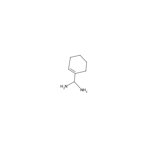 NC(N)C1=CCCCC1